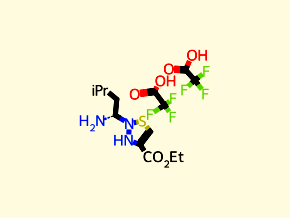 CCOC(=O)C1=CSN([C@H](N)CC(C)C)N1.O=C(O)C(F)(F)F.O=C(O)C(F)(F)F